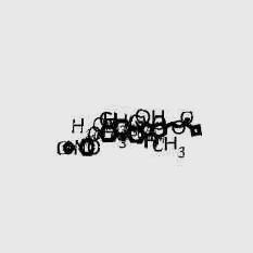 C[C@@H]1CC(COC(=O)C2CCC2)OC2[C@H]1[C@@]1(C)CC[C@@]34C[C@@]35CC[C@H](O[C@H]3CN(C6COC6)CCO3)C(C)(C)[C@@H]5CCC4[C@]1(C)[C@H]2O